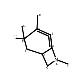 CC1=C=C2C(CN2C)CC1(C)C